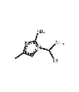 CCCCc1nc(C)cn1C(N)CC